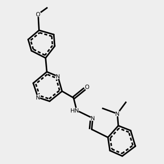 COc1ccc(-c2cncc(C(=O)NN=Cc3ccccc3N(C)C)n2)cc1